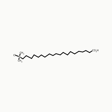 C[Si](C)(Cl)CCCCCCCCCCCCCCCCCCCC(=O)O